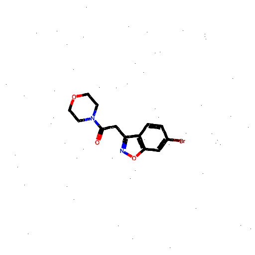 O=C(Cc1noc2cc(Br)ccc12)N1CCOCC1